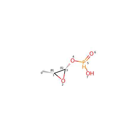 C[C@H]1O[C@H]1O[PH](=O)O